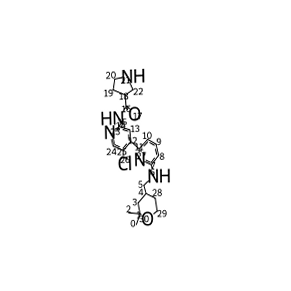 CC1(C)CC(CNc2cccc(-c3cc(NC(=O)C4CCNC4)ncc3Cl)n2)CCO1